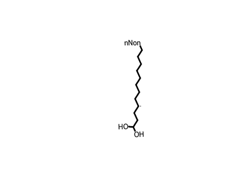 CCCCCCCCCCCCCCCCC[CH]CCC(O)O